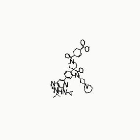 COC(=O)C1CCC(C(=O)N2CCC3(CC2)C(=O)N(C2CC(N4CCCCC4)C2)c2cc(-c4cc5ncn(C(C)C)c5c(NC5CC5)n4)ccc23)CC1